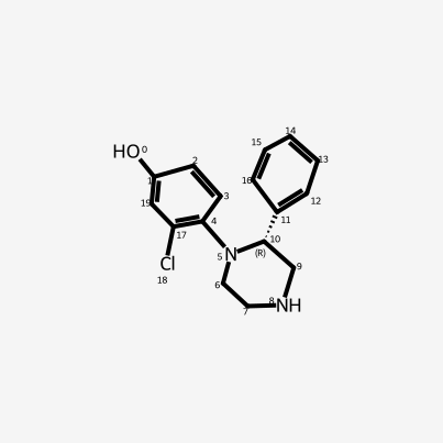 Oc1ccc(N2CCNC[C@H]2c2ccccc2)c(Cl)c1